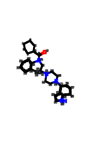 O=C(C1CCCCC1)N(CCN1CCN(c2cccc3[nH]ccc23)CC1)c1ccccc1[N+](=O)[O-]